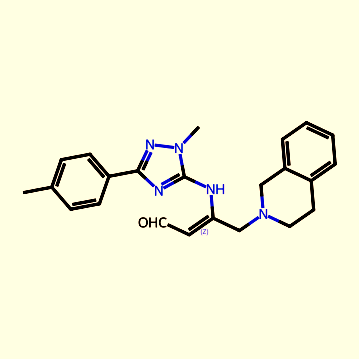 Cc1ccc(-c2nc(N/C(=C\C=O)CN3CCc4ccccc4C3)n(C)n2)cc1